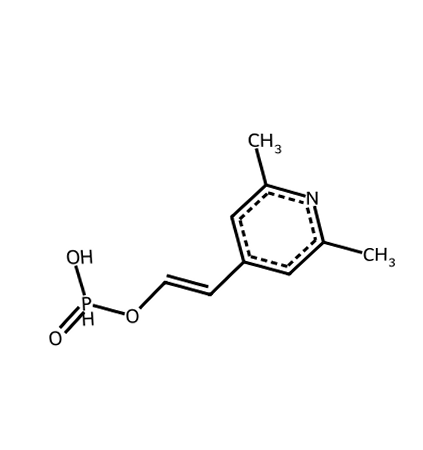 Cc1cc(/C=C/O[PH](=O)O)cc(C)n1